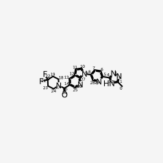 Cc1nnc(-c2ccc(-n3ccc4cc(C(=O)N5CCC(F)(F)CC5)cnc43)cn2)[nH]1